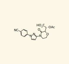 CC(=O)O[C@@H](C(=O)O)C1OCCN(c2ccn(-c3ccc(C#N)cc3)n2)C1=O